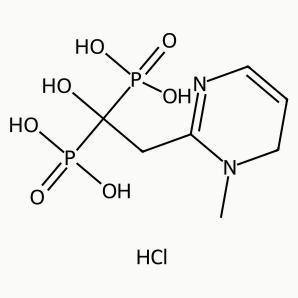 CN1CC=CN=C1CC(O)(P(=O)(O)O)P(=O)(O)O.Cl